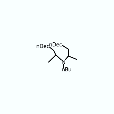 CCCCCCCCCCCC(C)N(CCCC)C(C)CCCCCCCCCCC